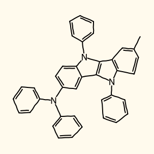 Cc1ccc2c(c1)c1c(c3cc(N(c4ccccc4)c4ccccc4)ccc3n1-c1ccccc1)n2-c1ccccc1